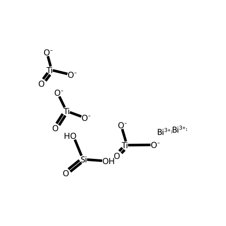 O=[Si](O)O.[Bi+3].[Bi+3].[O]=[Ti]([O-])[O-].[O]=[Ti]([O-])[O-].[O]=[Ti]([O-])[O-]